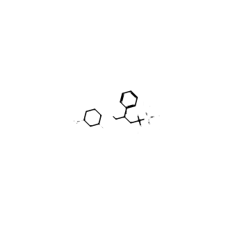 CC(C)(CC(CO[C@H]1CC[C@H](N)C[C@@H]1F)c1ccccc1)[Si](C)(C)O